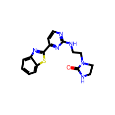 O=C1NCCN1CCNc1nccc(-c2nc3ccccc3s2)n1